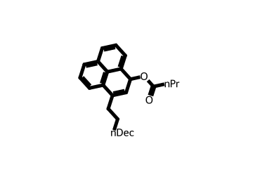 CCCCCCCCCCCCC1=CC(OC(=O)CCC)c2cccc3cccc1c23